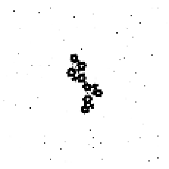 CC1(C)c2ccccc2-c2ccc(N3c4ccccc4C(C)(C)c4cc(-c5ccc6c(c5)C(C)(C)c5ccccc5N6c5cccc6c5oc5ccccc56)ccc43)cc21